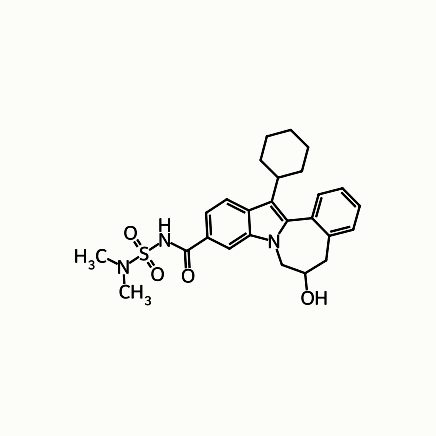 CN(C)S(=O)(=O)NC(=O)c1ccc2c(C3CCCCC3)c3n(c2c1)CC(O)Cc1ccccc1-3